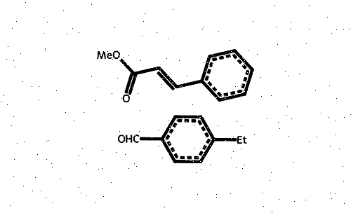 CCc1ccc(C=O)cc1.COC(=O)C=Cc1ccccc1